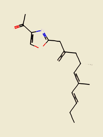 C=C(Cc1nc(C(C)=O)co1)C[C@H](C)/C=C(C)/C=C/CC